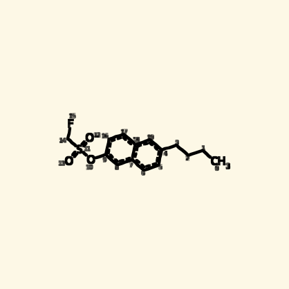 CCCCc1ccc2cc(OS(=O)(=O)CF)ccc2c1